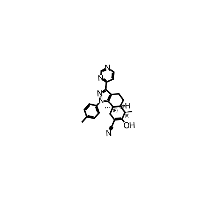 Cc1ccc(-n2nc(-c3ccncn3)c3c2[C@]2(C)CC(C#N)=C(O)[C@H](C)[C@H]2CC3)cc1